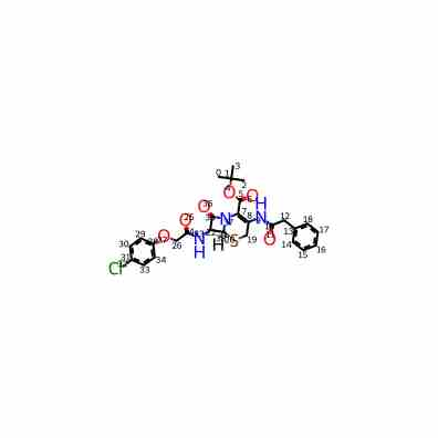 CC(C)(C)OC(=O)C1=C(NC(=O)Cc2ccccc2)CS[C@H]2C(NC(=O)COc3ccc(Cl)cc3)C(=O)N12